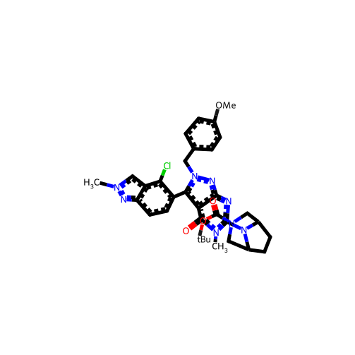 COc1ccc(Cn2nc3nc(N4C5CCC4CN(C(=O)OC(C)(C)C)C5)n(C)c(=O)c3c2-c2ccc3nn(C)cc3c2Cl)cc1